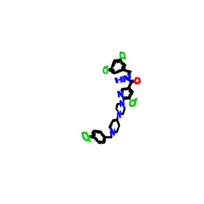 O=C(NCc1cc(Cl)cc(Cl)c1)c1cnc(N2CCN(C3CCN(Cc4ccc(Cl)cc4)CC3)CC2)c(Cl)c1